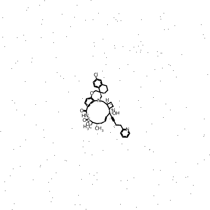 C[C@@H]1[C@@H](C)C/C=C/[C@](O)(C#CCCc2ccccn2)[C@@H]2CC[C@H]2CN2C[C@@]3(CCCc4cc(Cl)ccc43)COc3ccc(cc32)C(=O)NS1(=O)=O